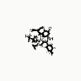 N#Cc1cnc2c(Cl)cc(NC(C3=CN(C4CC4)NN3)c3ccc(F)cc3)cc2c1NCC1(C(F)(F)F)CC1